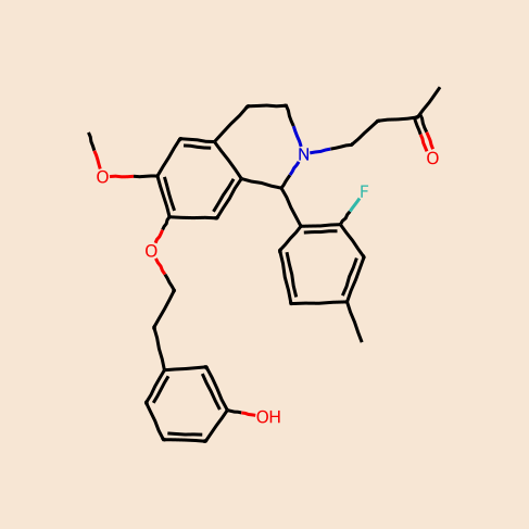 COc1cc2c(cc1OCCc1cccc(O)c1)C(c1ccc(C)cc1F)N(CCC(C)=O)CC2